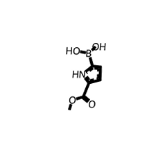 COC(=O)c1ccc(B(O)O)[nH]1